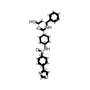 O=C(N[C@H](CCO)c1ccccc1)[C@H]1CC[C@H](N[S+]([O-])c2ccc(-c3cocn3)cc2)CC1